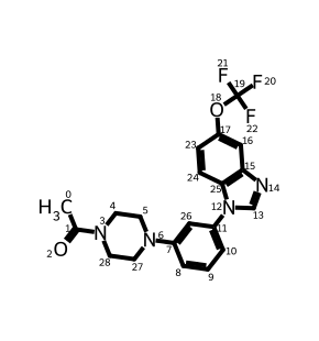 CC(=O)N1CCN(c2cccc(-n3cnc4cc(OC(F)(F)F)ccc43)c2)CC1